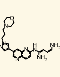 N/C=C\C=C(/N)Nc1ccc2ncc(-c3cnn(CCCN4CCOCC4)c3)cc2n1